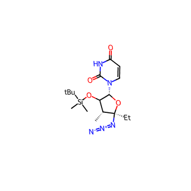 CC[C@@]1(N=[N+]=[N-])O[C@@H](n2ccc(=O)[nH]c2=O)C(O[Si](C)(C)C(C)(C)C)[C@H]1C